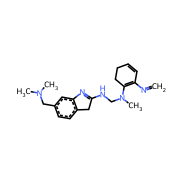 C=NC1=C(N(C)CNC2=Nc3cc(CN(C)C)ccc3C2)CCC=C1